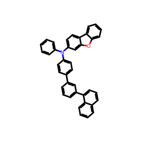 c1ccc(N(c2ccc(-c3cccc(-c4cccc5ccccc45)c3)cc2)c2ccc3c(c2)oc2ccccc23)cc1